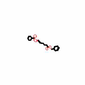 O=C(CCCCCOC(=O)C1CC=CCC1)OCC1CC=CCC1